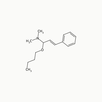 CCCCOC(C=Cc1ccccc1)N(C)C